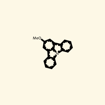 COc1cc2c3ccccc3n3c4ccccc4c(c1)c23